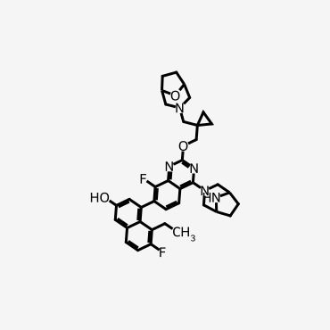 CCc1c(F)ccc2cc(O)cc(-c3ccc4c(N5CC6CCC(C5)N6)nc(OCC5(CN6CC7CCC(C6)O7)CC5)nc4c3F)c12